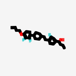 C=CCCOc1ccc(C2CCC(CCc3ccc(C(O)CCC)cc3F)CC2)c(F)c1F